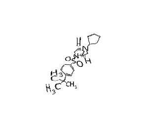 CC(C)(C)c1ccc(S(=O)(=O)N2C[C@@H]3C[C@H]2CN3C2CCCC2)cc1